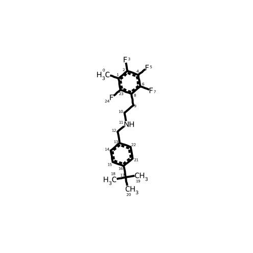 Cc1c(F)c(F)c(F)c(CCNCc2ccc(C(C)(C)C)cc2)c1F